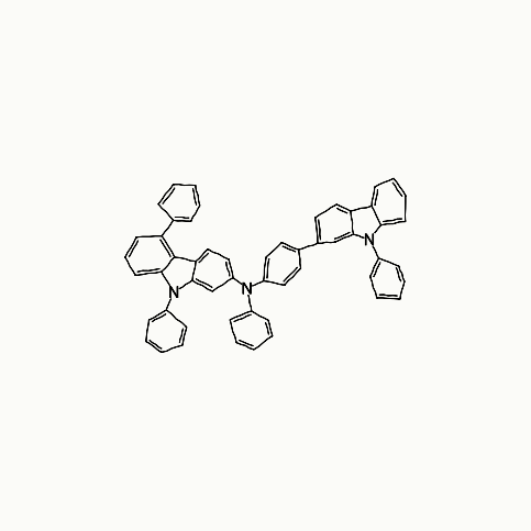 c1ccc(-c2cccc3c2c2ccc(N(c4ccccc4)c4ccc(-c5ccc6c7ccccc7n(-c7ccccc7)c6c5)cc4)cc2n3-c2ccccc2)cc1